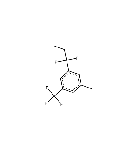 CCC(F)(F)c1cc(C)cc(C(F)(F)F)c1